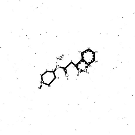 Br.CN1CCC(OC(=O)Cc2noc3ccccc23)CC1